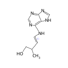 CC(/C=C/Nc1ncnc2nc[nH]c12)CO